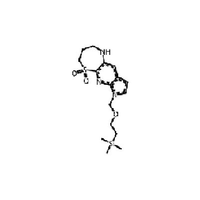 C[Si](C)(C)CCOCn1ccc2cc3c(nc21)S(=O)(=O)CCCN3